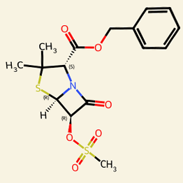 CC1(C)S[C@@H]2[C@H](OS(C)(=O)=O)C(=O)N2[C@H]1C(=O)OCc1ccccc1